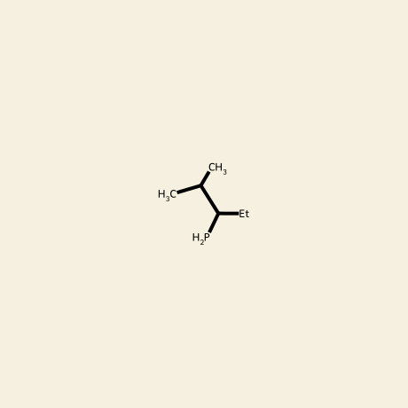 CCC(P)C(C)C